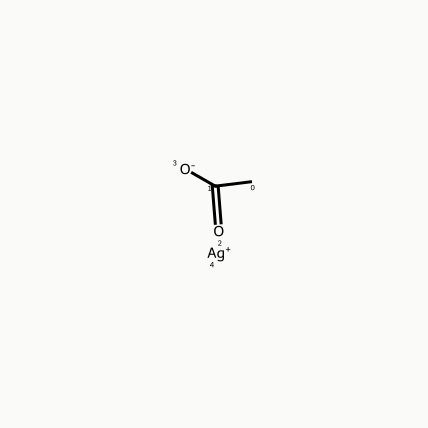 CC(=O)[O-].[Ag+]